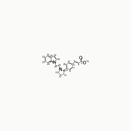 COC(=O)C=Cc1ccc(C2CCCN2CCn2ccc3ccccc32)cc1